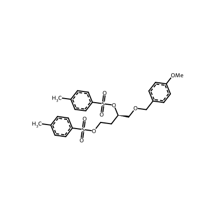 COc1ccc(COC[C@@H](CCOS(=O)(=O)c2ccc(C)cc2)OS(=O)(=O)c2ccc(C)cc2)cc1